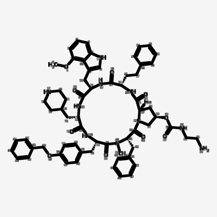 COc1cccc2[nH]cc(C[C@H]3NC(=O)[C@H](CCc4ccccc4)NC(=O)[C@@H]4C[C@@H](OC(=O)NCCN)CN4C(=O)[C@H](Cc4ccccc4)N(C)C(=O)[C@H](Cc4ccc(OCc5ccccc5)cc4)NC(=O)[C@H](CC4CCNCC4)NC3=O)c12